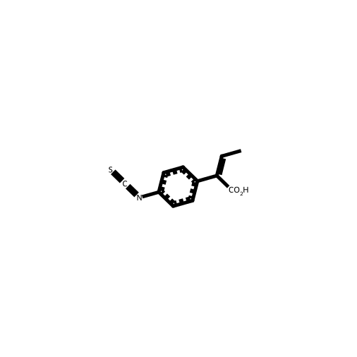 CC=C(C(=O)O)c1ccc(N=C=S)cc1